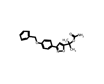 CC(C)(OC(N)=O)c1cc(-c2ccc(OCc3ccccc3)cc2)no1